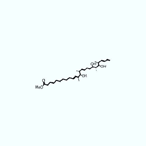 C=C/C=C/[C@H](C)[C@@H](O)[C@H](C)[C@H](O)CC/C=C/[C@H](C)[C@@H](O)[C@@H](C)/C=C/CCCCCCCCC(=O)OC